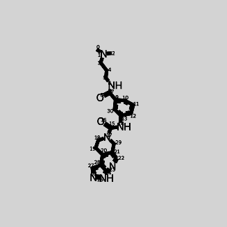 CN(C)CCCNC(=O)c1cccc(NC(=O)N2CCc3c(cnc4[nH]ncc34)C2)c1